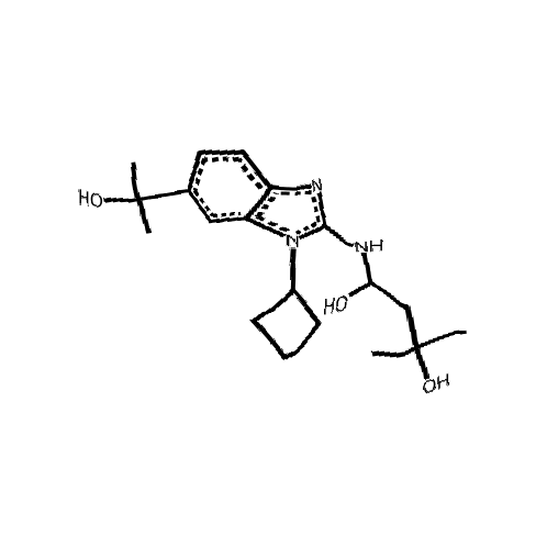 CC(C)(O)CC(O)Nc1nc2ccc(C(C)(C)O)cc2n1C1CCC1